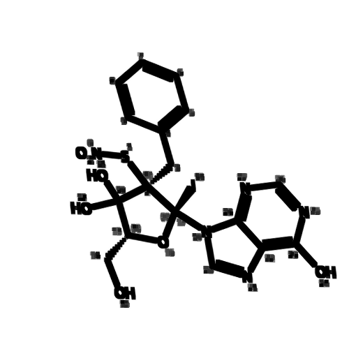 O=[N+]([O-])S[C@]1(Cc2ccccc2)C(O)(O)[C@@H](CO)O[C@@]1(I)n1cnc2c(O)ncnc21